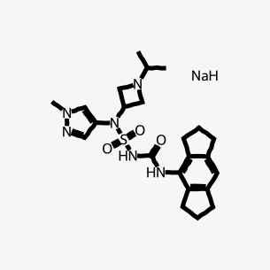 CC(C)N1CC(N(c2cnn(C)c2)S(=O)(=O)NC(=O)Nc2c3c(cc4c2CCC4)CCC3)C1.[NaH]